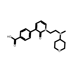 CN(CCn1cccc(-c2ccc(C(=O)O)cc2)c1=O)C1CCOCC1